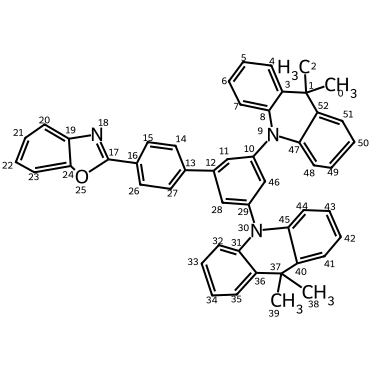 CC1(C)c2ccccc2N(c2cc(-c3ccc(-c4nc5ccccc5o4)cc3)cc(N3c4ccccc4C(C)(C)c4ccccc43)c2)c2ccccc21